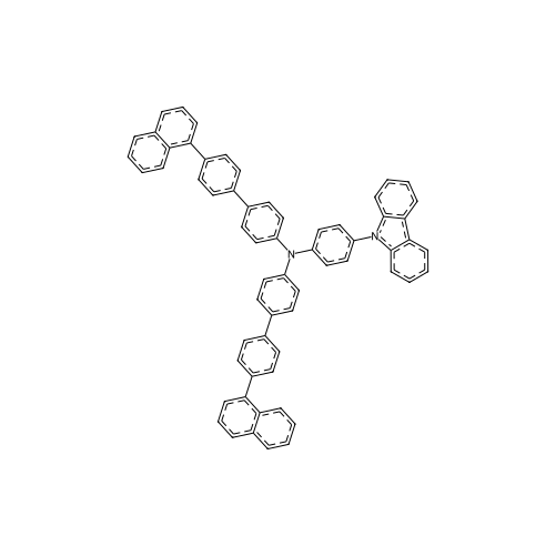 c1ccc2c(-c3ccc(-c4ccc(N(c5ccc(-c6ccc(-c7cccc8ccccc78)cc6)cc5)c5ccc(-n6c7ccccc7c7ccccc76)cc5)cc4)cc3)cccc2c1